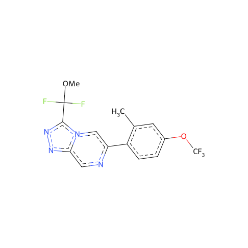 COC(F)(F)c1nnc2cnc(-c3ccc(OC(F)(F)F)cc3C)cn12